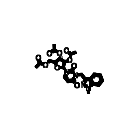 CC(=O)OCC1OC(n2ccc(=O)n(Cc3nn(C)c4ccccc34)c2=O)C(OC(C)=O)[C@H]1OC(C)=O